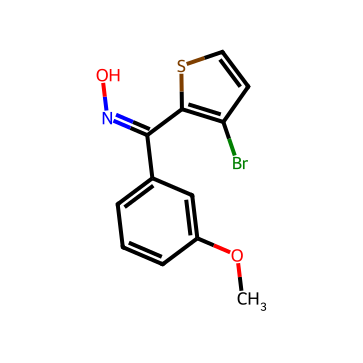 COc1cccc(C(=NO)c2sccc2Br)c1